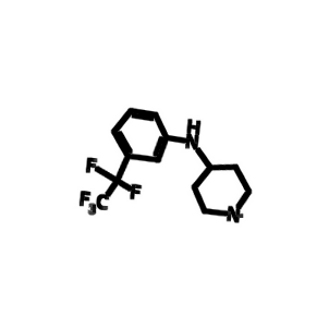 FC(F)(F)C(F)(F)c1cccc(NC2CC[N]CC2)c1